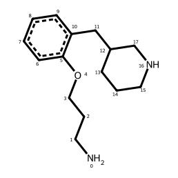 NCCCOc1ccccc1CC1CCCNC1